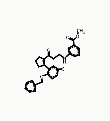 COC(=O)c1cccc(NCCC(=O)C2=C(c3cc(Cl)ccc3OCc3ccccc3)CCC2)c1